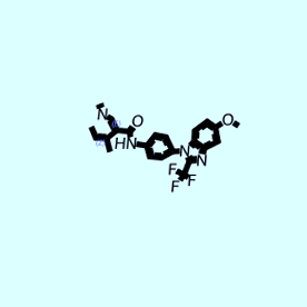 C=N/C=C(C(=O)Nc1ccc(-n2c(C(F)(F)F)nc3cc(OC)ccc32)cc1)\C(C)=C/C